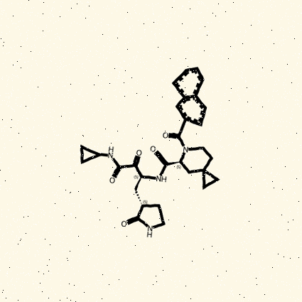 O=C(NC1CC1)C(=O)[C@H](C[C@@H]1CCNC1=O)NC(=O)[C@@H]1CC2(CCN1C(=O)c1ccc3ccccc3c1)CC2